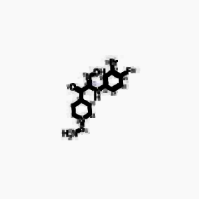 NSN1CCC(C(=O)/C(=N/O)Nc2ccc(F)c(Br)c2)CC1